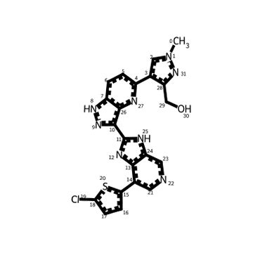 Cn1cc(-c2ccc3[nH]nc(-c4nc5c(-c6ccc(Cl)s6)cncc5[nH]4)c3n2)c(CO)n1